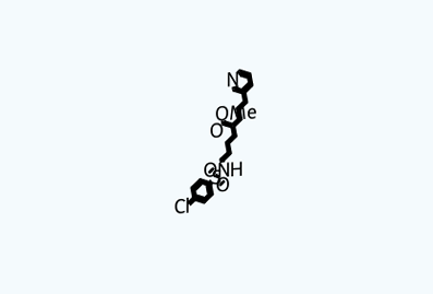 COC(=O)C(CCCCNS(=O)(=O)c1ccc(Cl)cc1)CCCc1cccnc1